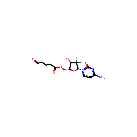 Nc1ccn([C@@H]2O[C@H](COC(=O)CCCC=O)[C@@H](O)C2(F)F)c(=O)n1